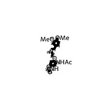 COc1ccc(CCN(C)CCOc2ccc(NS(C)(=O)=O)cc2NC(C)=O)cc1OC